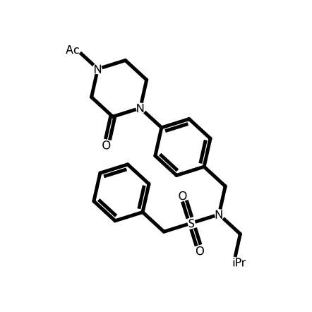 CC(=O)N1CCN(c2ccc(CN(CC(C)C)S(=O)(=O)Cc3ccccc3)cc2)C(=O)C1